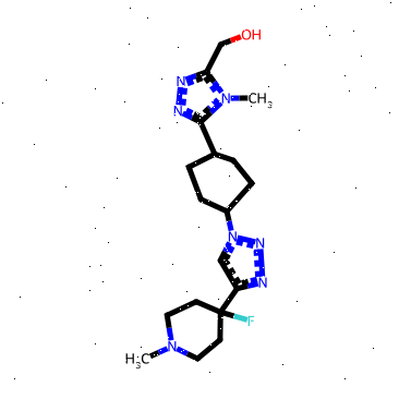 CN1CCC(F)(c2cn(C3CCC(c4nnc(CO)n4C)CC3)nn2)CC1